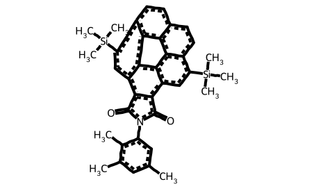 Cc1cc(C)c(C)c(-n2c(=O)c3c4cc([Si](C)(C)C)c5ccc6ccc7c([Si](C)(C)C)cc(c3c2=O)c2c7c6c5c42)c1